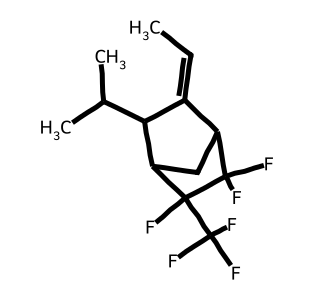 C/C=C1\C(C(C)C)C2CC1C(F)(F)C2(F)C(F)(F)F